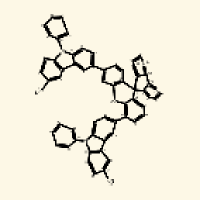 N#Cc1ccc2c(c1)c1cc(-c3ccc4c(c3)Oc3c(-c5ccc6c(c5)c5cc(C#N)ccc5n6-c5ccccc5)cccc3C43c4cccnc4-c4ncccc43)ccc1n2-c1ccccc1